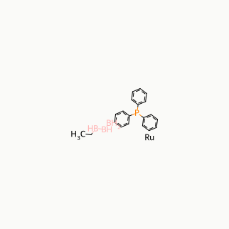 BBBCC.[Ru].c1ccc(P(c2ccccc2)c2ccccc2)cc1